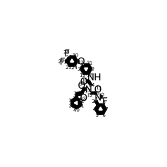 CN(Cc1ccccc1F)C(=O)CN(CC(=O)Nc1ccc(Oc2ccc(F)c(F)c2)cc1)C(=O)c1cc2ccccc2o1